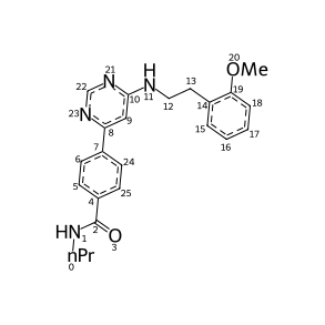 CCCNC(=O)c1ccc(-c2cc(NCCc3ccccc3OC)ncn2)cc1